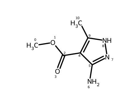 COC(=O)c1c(N)n[nH]c1C